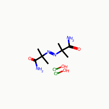 CC(C)(N=NC(C)(C)C(N)=O)C(N)=O.OCl.OCl